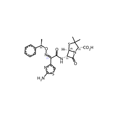 C[C@@H](O/N=C(\C(=O)N[C@H]1C(=O)N2[C@@H]1SC(C)(C)[C@@H]2C(=O)O)c1csc(N)n1)c1ccccc1